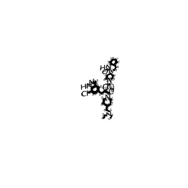 CCN(CC)CCC1CCN(C(=O)C(Cc2cc(Cl)c3[nH]ncc3c2)OC(=O)N2CCC(N3CCc4ccccc4NC3=O)CC2)CC1